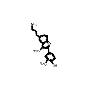 COc1cc(-c2oc3ccc(CCCN)cc3c2SC)ccc1O